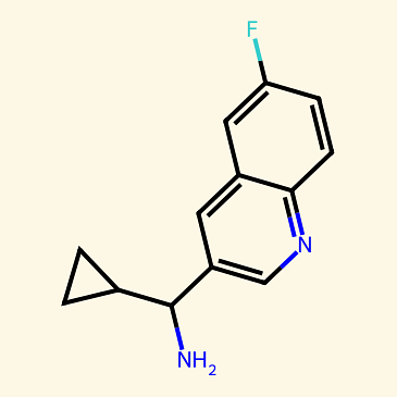 NC(c1cnc2ccc(F)cc2c1)C1CC1